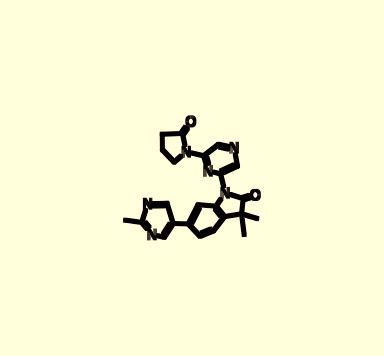 Cc1ncc(-c2ccc3c(c2)N(c2cncc(N4CCCC4=O)n2)C(=O)C3(C)C)cn1